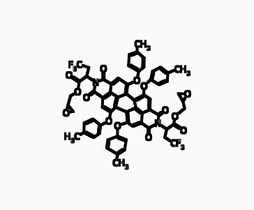 Cc1ccc(Oc2cc3c4c(cc(Oc5ccc(C)cc5)c5c6c(Oc7ccc(C)cc7)cc7c8c(cc(Oc9ccc(C)cc9)c(c2c45)c86)C(=O)N(C(CC(F)(F)F)C(=O)OCC2CO2)C7=O)C(=O)N(C(CC(F)(F)F)C(=O)OCC2CO2)C3=O)cc1